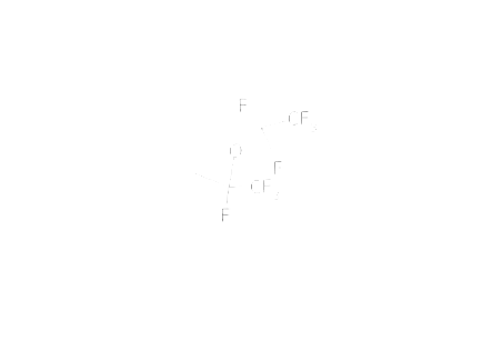 CC(F)(OC(F)(F)C(F)(F)F)C(F)(F)F